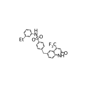 CCc1cccc(NS(=O)(=O)c2ccc(Cc3ccc4[nH]c(=O)cc(C(F)(F)F)c4c3)cc2)c1